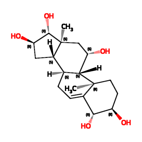 C[C@]12C[C@H](O)[C@H]3[C@@H](CC=C4[C@@H](O)[C@H](O)CC[C@@]43C)[C@@H]1C[C@@H](O)[C@@H]2O